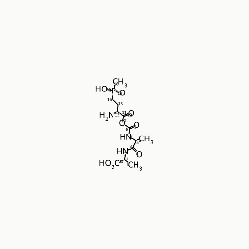 C[C@H](NC(=O)[C@H](C)NC(=O)OC(=O)[C@@H](N)CCP(C)(=O)O)C(=O)O